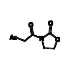 CC(=O)CC(=O)N1CCOC1=O